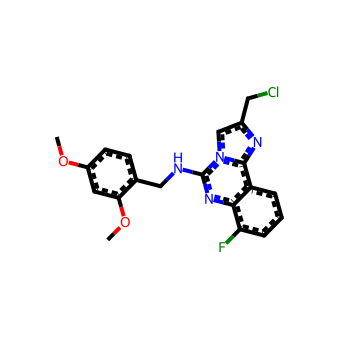 COc1ccc(CNc2nc3c(F)cccc3c3nc(CCl)cn23)c(OC)c1